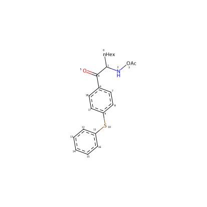 CCCCCCC(NOC(C)=O)C(=O)c1ccc(Sc2ccccc2)cc1